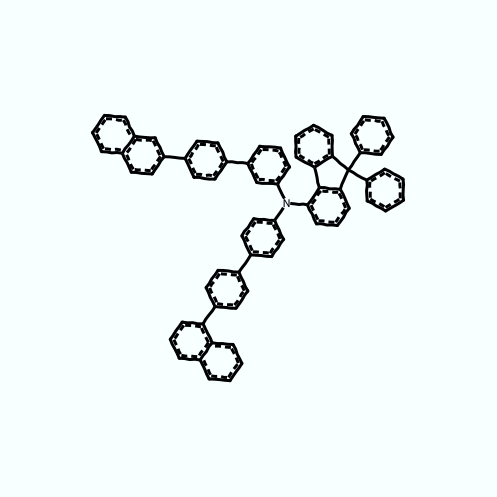 c1ccc(C2(c3ccccc3)c3ccccc3-c3c(N(c4ccc(-c5ccc(-c6cccc7ccccc67)cc5)cc4)c4cccc(-c5ccc(-c6ccc7ccccc7c6)cc5)c4)cccc32)cc1